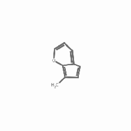 [CH2]c1ccc2cccoc1-2